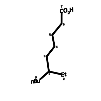 CCCCC(CC)CCCCC(=O)O